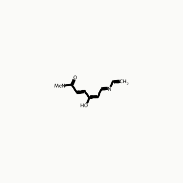 C=C/N=C/C=C(O)\C=C\C(=O)NC